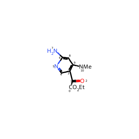 CCOC(=O)C(=O)c1cnc(N)cc1NC